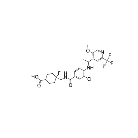 COc1cnc(C(F)(F)F)cc1C(C)Nc1ccc(C(=O)NCC2(F)CCC(C(=O)O)CC2)cc1Cl